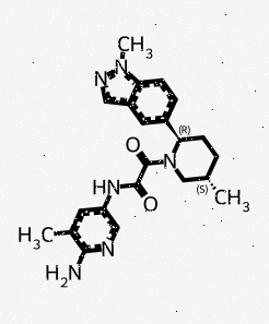 Cc1cc(NC(=O)C(=O)N2C[C@@H](C)CC[C@@H]2c2ccc3c(cnn3C)c2)cnc1N